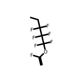 C=C(F)OC(F)(F)C(F)(F)C(F)(F)CC